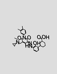 CCN(CC1=C(C)/C(=N\Nc2cccc(C3CCCC(C(=O)O)C3)c2O)C(=O)N(c2ccc(C)c(C)c2)C1=O)C1CC1